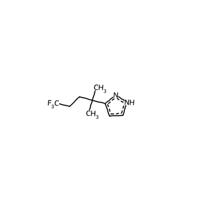 CC(C)(CCC(F)(F)F)c1cc[nH]n1